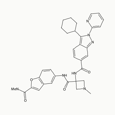 CNC(=O)c1cc2cc(NC(=O)C3(NC(=O)c4ccc5c(C6CCCCC6)n(-c6ccccn6)nc5c4)CN(C)C3)ccc2o1